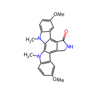 COc1ccc2c(c1)c1c3c(c4c5cc(OC)ccc5n(C)c4c1n2C)C(=O)NC3